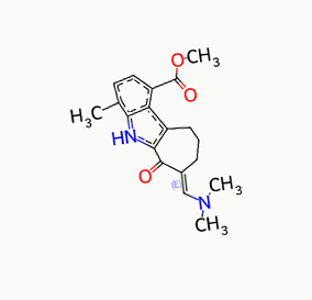 COC(=O)c1ccc(C)c2[nH]c3c(c12)CCC/C(=C\N(C)C)C3=O